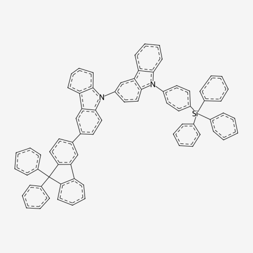 c1ccc(C2(c3ccccc3)c3ccccc3-c3cc(-c4ccc5c(c4)c4ccccc4n5-c4ccc5c(c4)c4ccccc4n5-c4ccc([Si](c5ccccc5)(c5ccccc5)c5ccccc5)cc4)ccc32)cc1